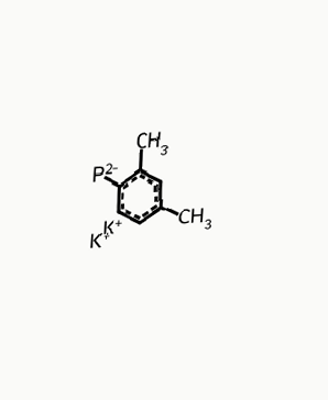 Cc1ccc([P-2])c(C)c1.[K+].[K+]